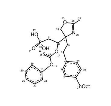 CCCCCCCCc1ccc(CCC2(C(CP(=O)(O)O)OC(=S)Oc3ccccc3)COC(C)=N2)cc1